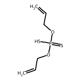 C=CCOP(=S)(S)OCC=C